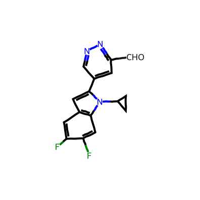 O=Cc1cc(-c2cc3cc(F)c(F)cc3n2C2CC2)cnn1